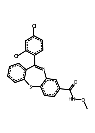 CONC(=O)c1ccc2c(c1)N=C(c1ccc(Cl)cc1Cl)c1ccccc1S2